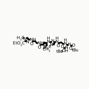 CCOC(=O)c1nc(NC(=O)CCNC(=O)c2cc(Nc3nc(NC(=O)CCNC(=NC(=O)OC(C)(C)C)NC(=O)OC(C)(C)C)cn3C)cn2C)cn1C